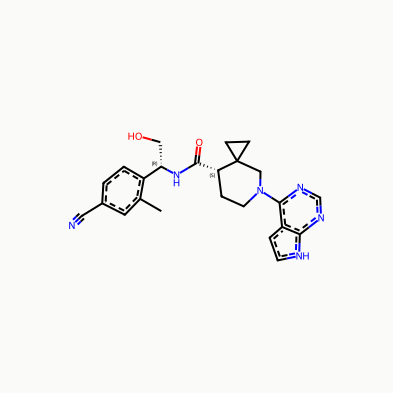 Cc1cc(C#N)ccc1[C@H](CO)NC(=O)[C@H]1CCN(c2ncnc3[nH]ccc23)CC12CC2